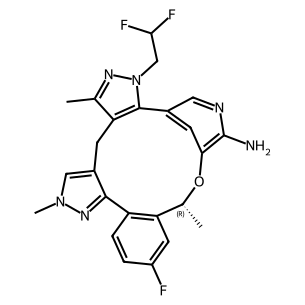 Cc1nn(CC(F)F)c2c1Cc1cn(C)nc1-c1ccc(F)cc1[C@@H](C)Oc1cc-2cnc1N